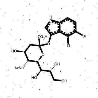 CC(=O)N[C@H]1[C@H]([C@H](O)[C@H](O)CO)O[C@](Oc2c[nH]c3ccc(Br)c(Cl)c23)(C(=O)O)C[C@@H]1O